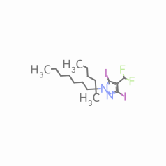 CCCCCCCC(C)(CCCC)n1nc(I)c(C(F)F)c1I